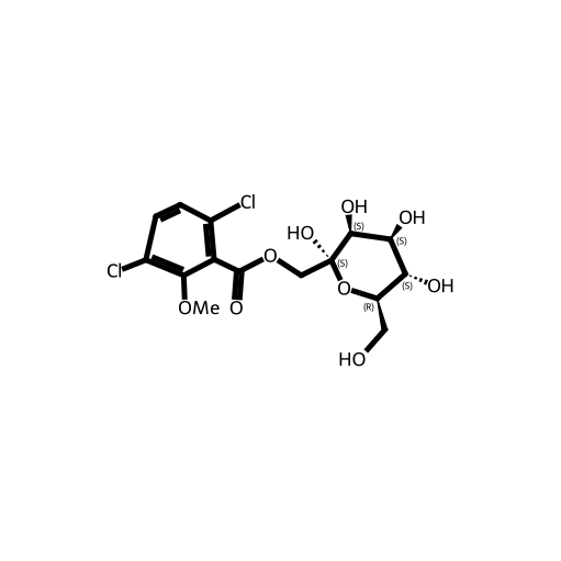 COc1c(Cl)ccc(Cl)c1C(=O)OC[C@]1(O)O[C@H](CO)[C@@H](O)[C@H](O)[C@@H]1O